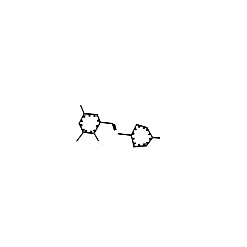 CCOC(=O)c1ccc(/N=C/c2cc(Br)cc(Br)c2O)cc1